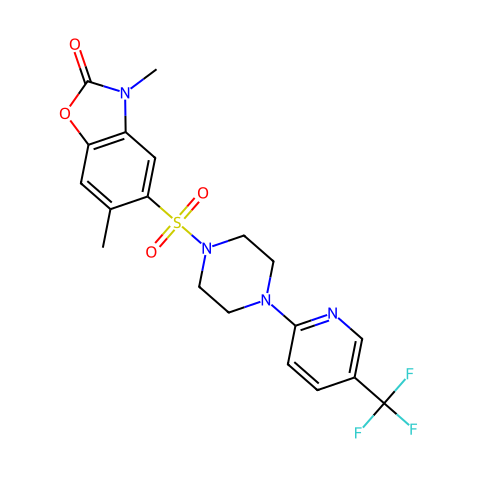 Cc1cc2oc(=O)n(C)c2cc1S(=O)(=O)N1CCN(c2ccc(C(F)(F)F)cn2)CC1